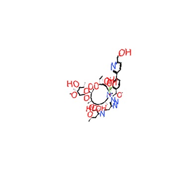 CC[C@H]1OC(=O)[C@H](C)[C@@H](O[C@H]2C[C@@](C)(OC)[C@@H](O)[C@H](C)O2)[C@H](C)[C@@H](O[C@@H]2O[C@H](C)C[C@H](N(C)CCc3cn([C@H](CF)[C@H](OC)c4ccc(-c5ccc(CO)nc5)cc4)nn3)[C@H]2O)[C@](C)(O)C[C@@H](C)CN(C)[C@H](C)[C@@H](O)[C@]1(C)O